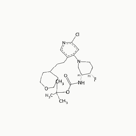 CC(C)(C)OC(=O)N[C@@H]1CN(c2cc(Cl)ncc2CCC2CCOCC2)CC[C@@H]1F